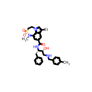 CCc1cn2c3c(cc(C(=O)N[C@@H](Cc4ccccc4)[C@H](O)CNCc4ccc(C)cc4)cc13)N(C)S(=O)(=O)CC2